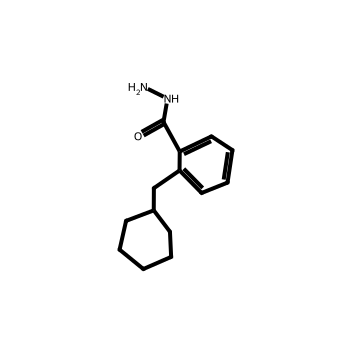 NNC(=O)c1ccccc1CC1CCCCC1